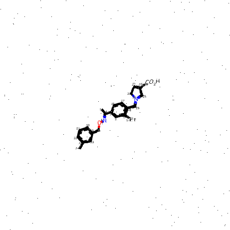 CCc1cc(C(C)=NOCc2cccc(C)c2)ccc1CN1CCC(C(=O)O)C1